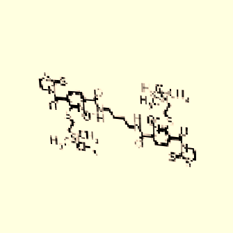 C[Si](C)(C)CCSc1c(C(=O)N2CCSC2=S)ccc(C(=O)NCCCCNC(=O)c2ccc(C(=O)N3CCSC3=S)c(SCC[Si](C)(C)C)[n+]2[O-])[n+]1[O-]